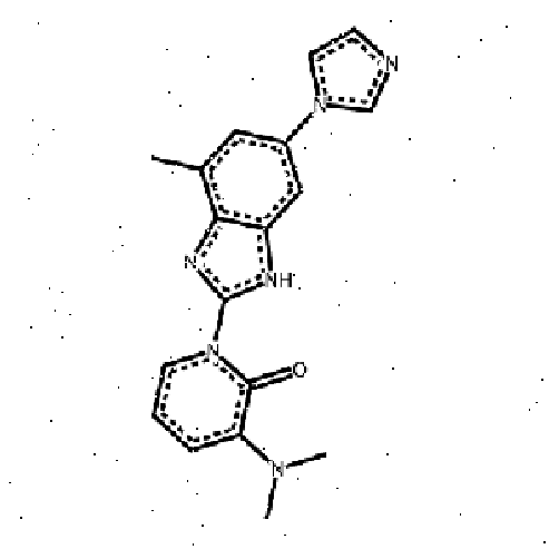 Cc1cc(-n2ccnc2)cc2[nH]c(-n3cccc(N(C)C)c3=O)nc12